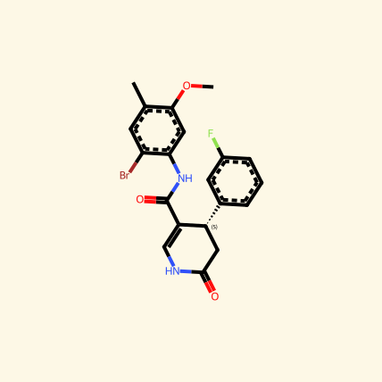 COc1cc(NC(=O)C2=CNC(=O)C[C@H]2c2cccc(F)c2)c(Br)cc1C